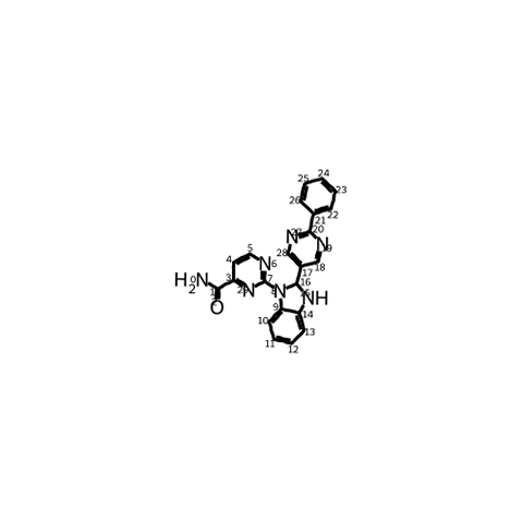 NC(=O)c1ccnc(N2c3ccccc3NC2c2cnc(-c3ccccc3)nc2)n1